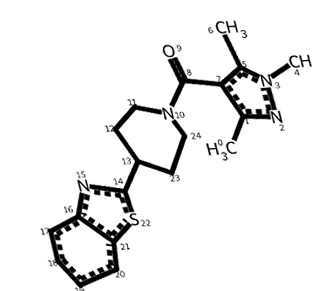 Cc1nn(C)c(C)c1C(=O)N1CCC(c2nc3ccccc3s2)CC1